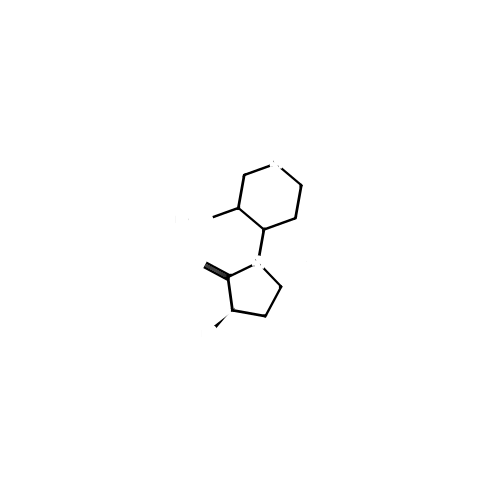 CCOC(=O)C1CNCCC1N1CC[C@@H](O)C1=O.Cl